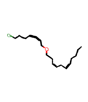 CCCC/C=C\C/C=C\CCOCC=C=CCCCCl